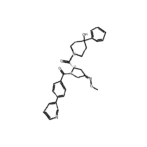 CON=C1C[C@@H](C(=O)N2CCC(O)(c3ccccc3)CC2)N(C(=O)c2ccc(-c3cccnc3)cc2)C1